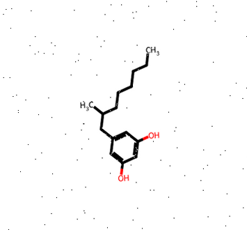 CCCCCCC(C)Cc1cc(O)cc(O)c1